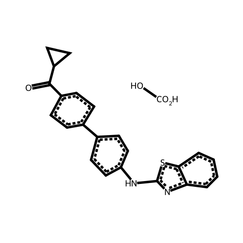 O=C(O)O.O=C(c1ccc(-c2ccc(Nc3nc4ccccc4s3)cc2)cc1)C1CC1